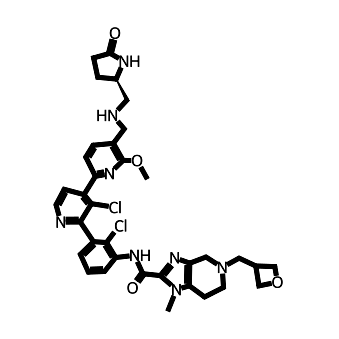 COc1nc(-c2ccnc(-c3cccc(NC(=O)c4nc5c(n4C)CCN(CC4COC4)C5)c3Cl)c2Cl)ccc1CNC[C@H]1CCC(=O)N1